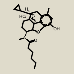 CCCCCC(=O)N(C)[C@H]1CC[C@@]2(O)[C@H]3Cc4c(C)cc(O)c5c4[C@@]2(CCN3C2CC2)[C@H]1O5